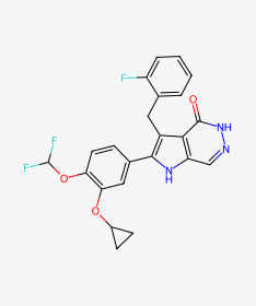 O=c1[nH]ncc2[nH]c(-c3ccc(OC(F)F)c(OC4CC4)c3)c(Cc3ccccc3F)c12